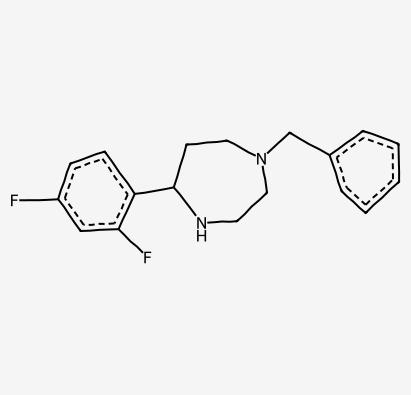 Fc1ccc(C2CCN(Cc3ccccc3)CCN2)c(F)c1